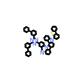 N#Cc1cc(-c2nc(-c3cccc(-c4ccccc4)c3)nc(-c3cccc(-c4ccccc4)c3)n2)ccc1-n1c2ccccc2c2ccc3c(c4ccccc4n3-c3cccc4c3sc3ccccc34)c21